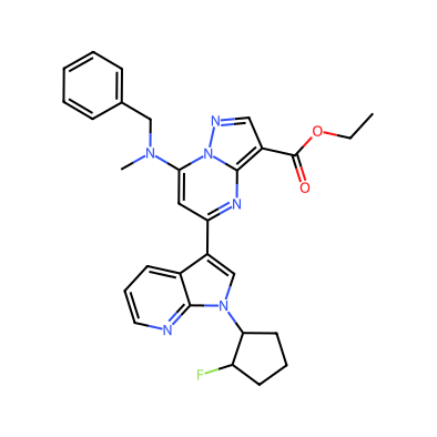 CCOC(=O)c1cnn2c(N(C)Cc3ccccc3)cc(-c3cn(C4CCCC4F)c4ncccc34)nc12